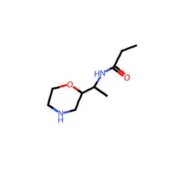 CCC(=O)NC(C)C1CNCCO1